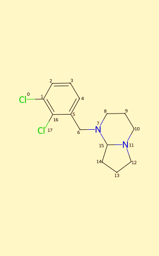 Clc1cccc(CN2CCCN3CCCC32)c1Cl